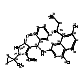 COC1=C([C@@H](Nc2cc(Cl)c3ncc(C#N)c(NCC(C)(C)C)c3c2)c2ccccc2Cl)NNN1C1(C)CC1